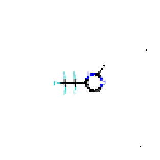 Cc1nccc(C(F)(F)C(F)(F)F)n1